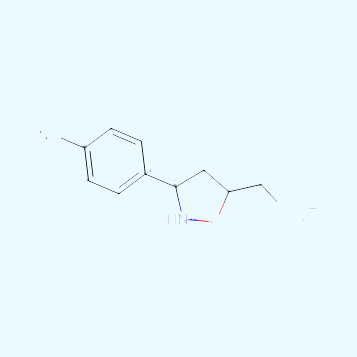 N#Cc1ccc(C2CC(CC(=O)O)ON2)cc1